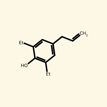 C=CCc1cc(CC)c(O)c(CC)c1